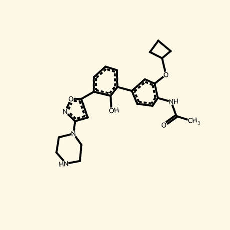 CC(=O)Nc1ccc(-c2cccc(-c3cc(N4CCNCC4)no3)c2O)cc1OC1CCC1